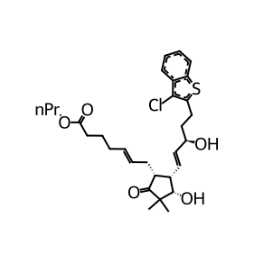 CCCOC(=O)CCCC=CC[C@H]1C(=O)C(C)(C)[C@@H](O)[C@H]1C=C[C@H](O)CCc1sc2ccccc2c1Cl